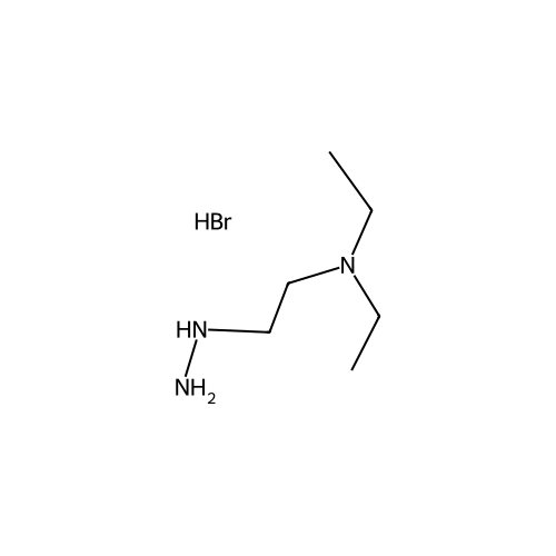 Br.CCN(CC)CCNN